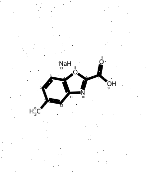 Cc1ccc2oc(C(=O)O)nc2c1.[NaH]